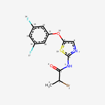 CC(Br)C(=O)Nc1ncc(Oc2cc(F)cc(F)c2)s1